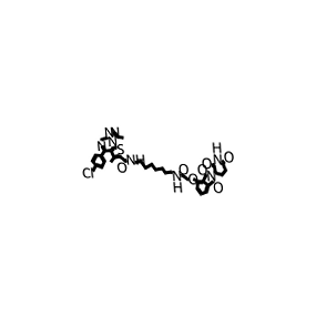 Cc1c(C(=O)NCCCCCCCCNC(=O)COc2cccc3c2C(=O)N(C2CCC(=O)NC2=O)C3=O)sc2c1C(c1ccc(Cl)cc1)=NCc1nnc(C)n1-2